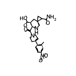 Cc1cc([N+](=O)[O-])ccc1C1=CCN(C(=O)C2NCC3(CC2C(=O)O)CC3C(N)=O)CC1